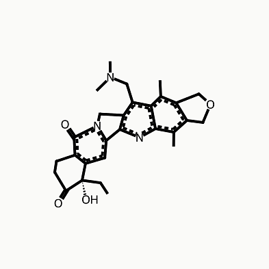 CC[C@@]1(O)C(=O)CCc2c1cc1n(c2=O)Cc2c-1nc1c(C)c3c(c(C)c1c2CN(C)C)COC3